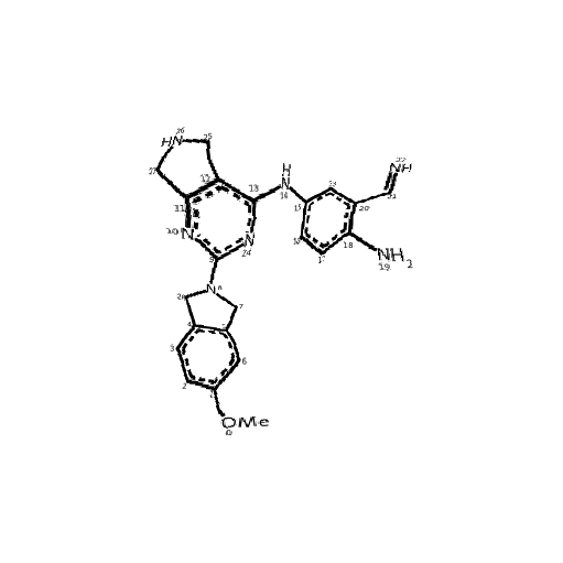 COc1ccc2c(c1)CN(c1nc3c(c(Nc4ccc(N)c(C=N)c4)n1)CNC3)C2